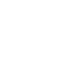 CC(C)(C)OC(=O)c1ccc(F)cc1Cl